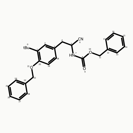 CC(C)(C)c1cc(CC(C#N)NC(=O)OCc2ccccc2)ccc1OCc1ccccc1